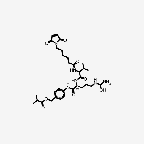 CC(C)C(=O)OCc1ccc(NC(=O)[C@H](CCCNC(N)O)NC(=O)C(NC(=O)CCCCCN2C(=O)C=CC2=O)C(C)C)cc1